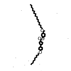 CCCCCCCCCCCCCCCCCCOC(C)c1ccc(OC(=O)c2ccc(-c3ccc(OCCCCCCCCCC)cc3)cc2)cc1